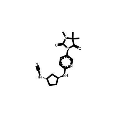 CN1C(=O)N(c2ccc(N[C@H]3CC[C@H](NC#N)C3)nc2)C(=O)C1(C)C